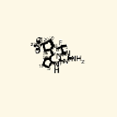 CC(C)(F)c1nc(N)nc(NC2CCCC2Cc2cccc(S(C)(=O)=O)c2)n1